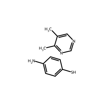 Cc1cncnc1C.Nc1ccc(S)cc1